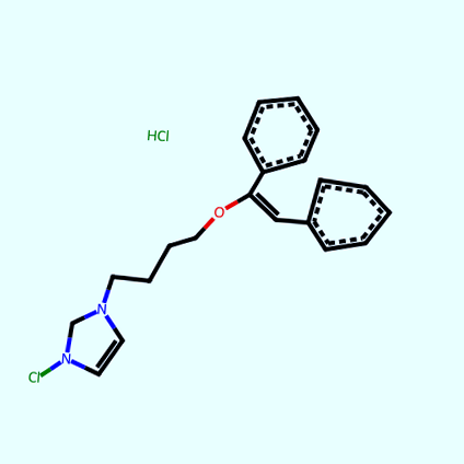 Cl.ClN1C=CN(CCCCO/C(=C/c2ccccc2)c2ccccc2)C1